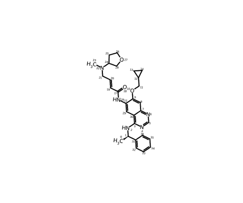 C[C@@H](Nc1ncnc2cc(OCC3CC3)c(NC(=O)/C=C/CN(C)C3CCOC3)cc12)c1ccccc1